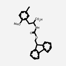 COc1ccc(C)cc1CC(NC(=O)OCC1c2ccccc2-c2ccccc21)C(=O)O